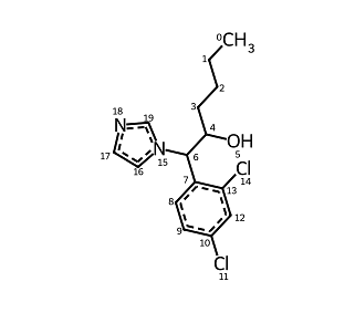 CCCCC(O)C(c1ccc(Cl)cc1Cl)n1ccnc1